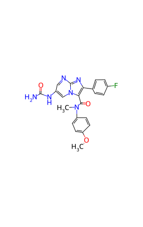 COc1ccc(N(C)C(=O)c2c(-c3ccc(F)cc3)nc3ncc(NC(N)=O)cn23)cc1